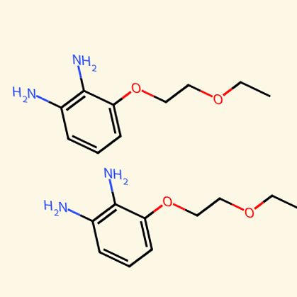 CCOCCOc1cccc(N)c1N.CCOCCOc1cccc(N)c1N